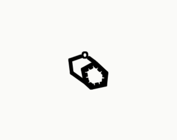 c1cc2cc(c1)OCC2